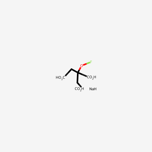 O=C(O)CC(CC(=O)O)(OF)C(=O)O.[NaH]